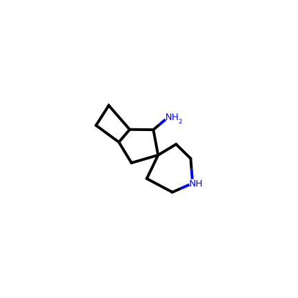 NC1C2CCC2CC12CCNCC2